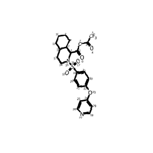 O=C(OC(=O)C(F)(F)F)C1C2CCCCC2CCN1S(=O)(=O)c1ccc(Oc2ccncc2)cc1